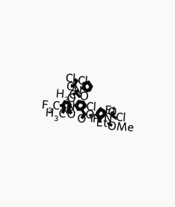 CC(C)OC(=O)c1cc(-n2c(=O)cc(C(F)(F)F)n(C)c2=O)ccc1Cl.CC1COc2ccccc2N1C(=O)C(Cl)Cl.CCc1cccc(CC)c1N(COC)C(=O)CCl